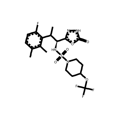 Cc1ccc(F)c(C(C)[C@H](NS(=O)(=O)N2CCC(OC(F)(F)F)CC2)c2n[nH]c(=O)o2)c1C